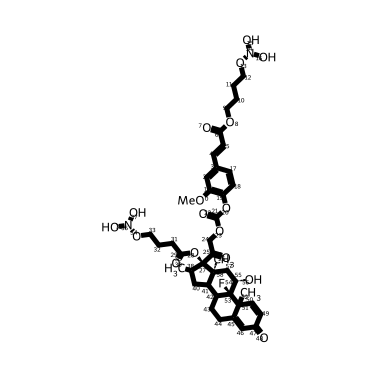 COc1cc(/C=C/C(=O)OCCCCON(O)O)ccc1OC(=O)OCC(=O)[C@@]1(OC(=O)CCCON(O)O)C(C)CC2C3CCC4=CC(=O)C=CC4(C)[C@@]3(F)[C@@H](O)C[C@@]21C